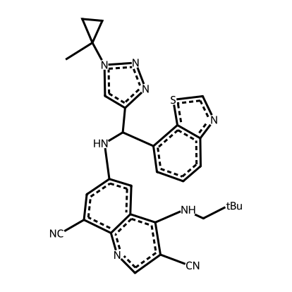 CC(C)(C)CNc1c(C#N)cnc2c(C#N)cc(NC(c3cn(C4(C)CC4)nn3)c3cccc4ncsc34)cc12